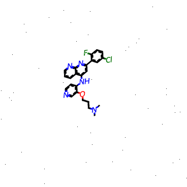 CN(C)CCCOc1cnccc1Nc1cc(-c2cc(Cl)ccc2F)nc2ncccc12